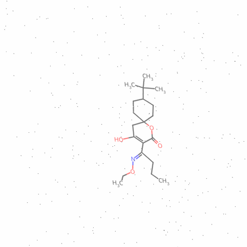 CCC/C(=N\OCC)C1=C(O)CC2(CCC(C(C)(C)C)CC2)OC1=O